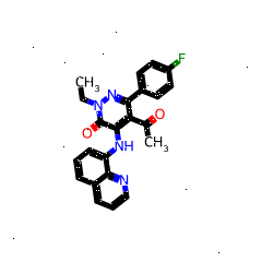 CCn1nc(-c2ccc(F)cc2)c(C(C)=O)c(Nc2cccc3cccnc23)c1=O